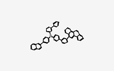 c1ccc(-c2cccc(N(c3ccc(-c4cccc(-c5cc6c7ccccc7ccc6c6ccccc56)c4)cc3)c3ccc(-c4ccc5ccccc5c4)cc3)c2)cc1